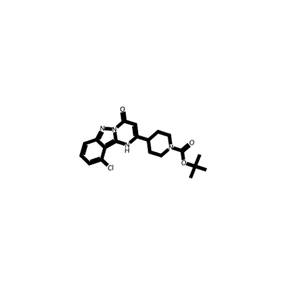 CC(C)(C)OC(=O)N1CCC(c2cc(=O)n3nc4cccc(Cl)c4c3[nH]2)CC1